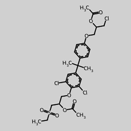 CCS(=O)(=O)CC(COc1c(Cl)cc(C(C)(C)c2ccc(OCC(CCl)OC(C)=O)cc2)cc1Cl)OC(C)=O